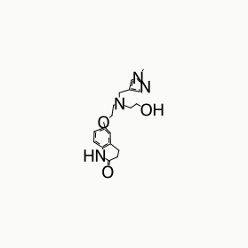 Cn1cc(CN(CCO)CCOc2ccc3c(c2)CCC(=O)N3)cn1